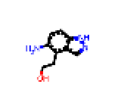 Nc1ccc2[nH]ncc2c1CCO